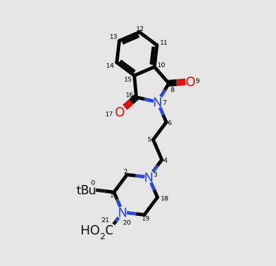 CC(C)(C)C1CN(CCCN2C(=O)c3ccccc3C2=O)CCN1C(=O)O